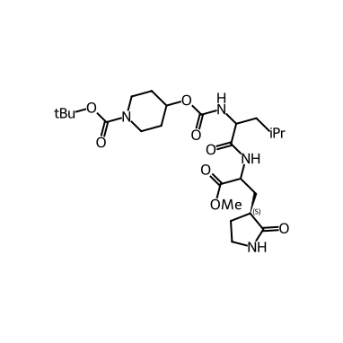 COC(=O)C(C[C@@H]1CCNC1=O)NC(=O)C(CC(C)C)NC(=O)OC1CCN(C(=O)OC(C)(C)C)CC1